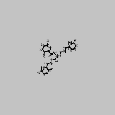 Cc1cccc(/C=N/CCN(CC/N=C/c2nc(C)ccc2C)/N=C/c2nc(C)ccc2C)n1